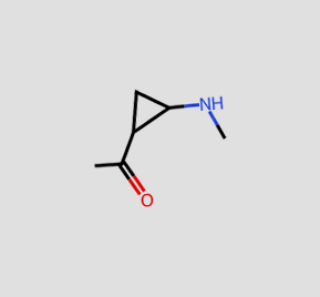 CNC1CC1C(C)=O